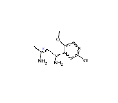 COc1cnc(Cl)cc1N(N)/C=C(/C)N